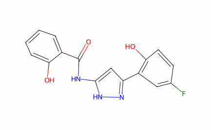 O=C(Nc1cc(-c2cc(F)ccc2O)n[nH]1)c1ccccc1O